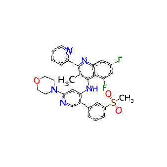 Cc1c(-c2ccccn2)nc2cc(F)cc(F)c2c1Nc1cc(N2CCOCC2)ncc1-c1cccc(S(C)(=O)=O)c1